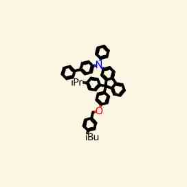 CCC(C)c1ccc(COc2ccc(C3(c4ccc(C(C)C)cc4)c4ccccc4-c4ccc(N(c5ccccc5)c5ccc(-c6ccccc6)cc5)cc43)cc2)cc1